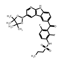 CCCS(=O)(=O)Nc1ccc(F)c(C(=O)c2ccc3[nH]c4ncc(B5OC(C)(C)C(C)(C)O5)cc4c3c2)c1F